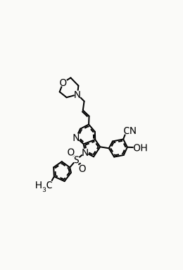 Cc1ccc(S(=O)(=O)n2cc(-c3ccc(O)c(C#N)c3)c3cc(/C=C/CN4CCOCC4)cnc32)cc1